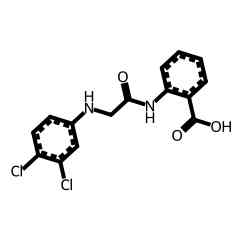 O=C(CNc1ccc(Cl)c(Cl)c1)Nc1ccccc1C(=O)O